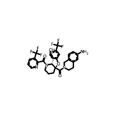 CCC[C@H]1N(C(=O)c2ncccc2C(F)(F)F)CCC[C@@]1(Oc1csc(C(F)(F)F)c1)C(=O)N1CCc2cc(N)ccc2C1